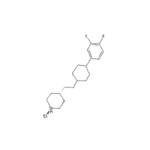 CC[Si@H]1CC[C@H](CCC2CCC(c3ccc(F)c(F)c3)CC2)CC1